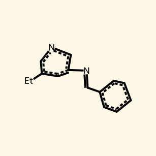 CCc1cncc(N=Cc2ccccc2)c1